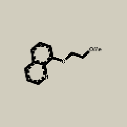 COCCOc1cccc2cccnc12